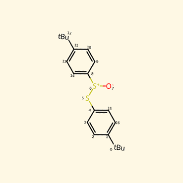 CC(C)(C)c1ccc(S[S+]([O-])c2ccc(C(C)(C)C)cc2)cc1